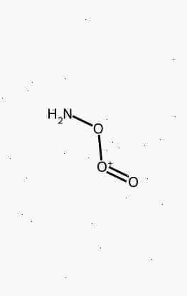 NO[O+]=O